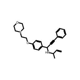 C=CC(C)NC(C#Cc1ccccc1)c1ccc(OCCN2CCOCC2)cc1